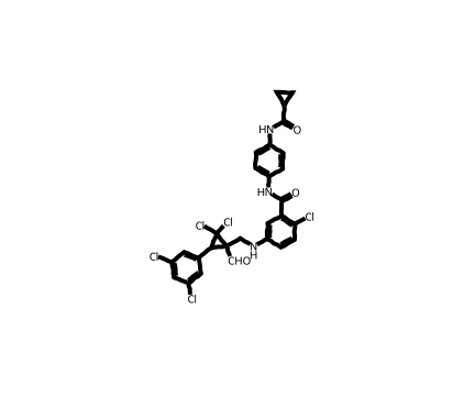 O=CC1(CNc2ccc(Cl)c(C(=O)Nc3ccc(NC(=O)C4CC4)cc3)c2)C(c2cc(Cl)cc(Cl)c2)C1(Cl)Cl